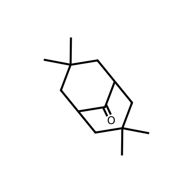 CC1(C)CC2CC(C)(C)CC(C1)C2=O